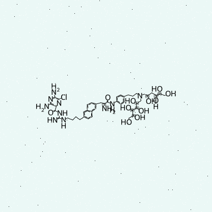 N=C(NCCCCc1ccc2cc(C[C@H](N)C(=O)Nc3ccc(CCCN(C[C@H](O)C[C@H](O)[C@H](O)CO)C[C@H](O)[C@@H](O)[C@H](O)[C@H](O)CO)cc3)ccc2c1)NC(=O)c1nc(Cl)c(N)nc1N